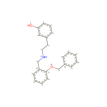 Oc1cccc(CCNCc2ccccc2OCc2ccccc2)c1